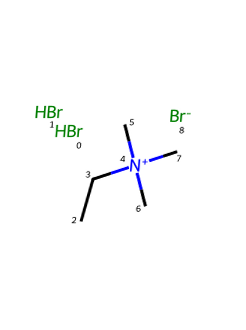 Br.Br.CC[N+](C)(C)C.[Br-]